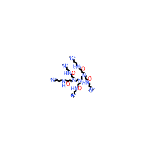 C[N+](C)(C)CCCCNCC(=O)CCN(CCC(=O)NCCC[N+](C)(C)C)CCN(CCC(=O)NCCC[N+](C)(C)C)CCN(CCC(=O)CNCCCC[N+](C)(C)C)CCC(=O)NCCC[N+](C)(C)C